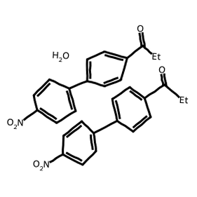 CCC(=O)c1ccc(-c2ccc([N+](=O)[O-])cc2)cc1.CCC(=O)c1ccc(-c2ccc([N+](=O)[O-])cc2)cc1.O